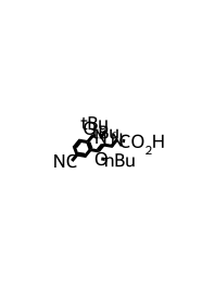 CCCCOc1c(CN(C(=O)O)C(C)(C)C)n(CC(C)(C)C)c(=O)c2ccc(C#N)cc12